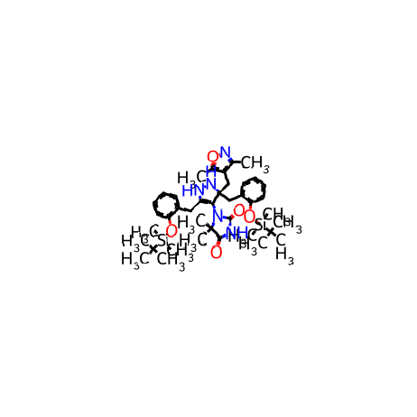 Cc1noc(C)c1CC1(Cc2ccccc2O[Si](C)(C)C(C)(C)C)NNC(Cc2ccccc2O[Si](C)(C)C(C)(C)C)=C1N1C(=O)NC(=O)C1(C)C